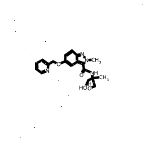 Cn1nc2ccc(OCc3ccccn3)cc2c1C(=O)NC(C)(CO)CO